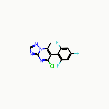 Cc1c(-c2c(F)cc(F)cc2F)c(Cl)nc2ncnn12